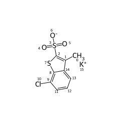 Cc1c(S(=O)(=O)[O-])sc2c(Cl)cccc12.[K+]